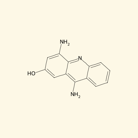 Nc1c2ccccc2nc2c(N)cc(O)cc12